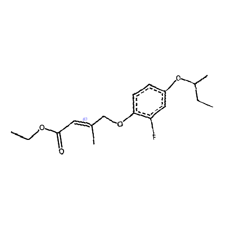 CCOC(=O)/C=C(\C)COc1ccc(OC(C)CC)cc1F